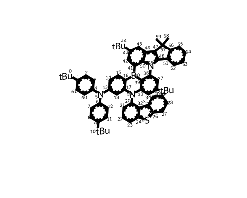 CC(C)(C)c1ccc(N(c2ccc(C(C)(C)C)cc2)c2ccc3c(c2)N(c2cccc4sc5ccccc5c24)c2cc(C(C)(C)C)cc4c2B3c2cc(C(C)(C)C)cc3c5c(n-4c23)-c2ccccc2C5(C)C)cc1